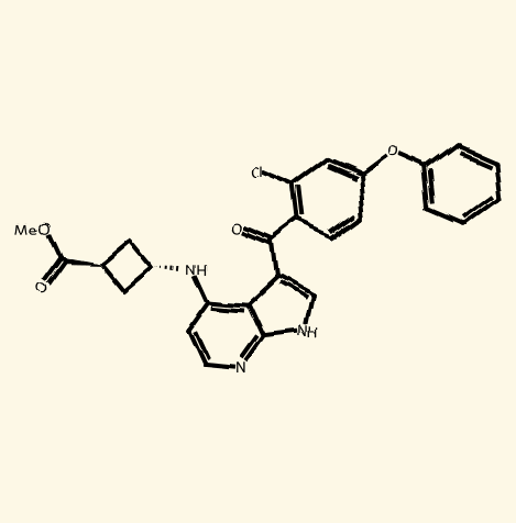 COC(=O)[C@H]1C[C@H](Nc2ccnc3[nH]cc(C(=O)c4ccc(Oc5ccccc5)cc4Cl)c23)C1